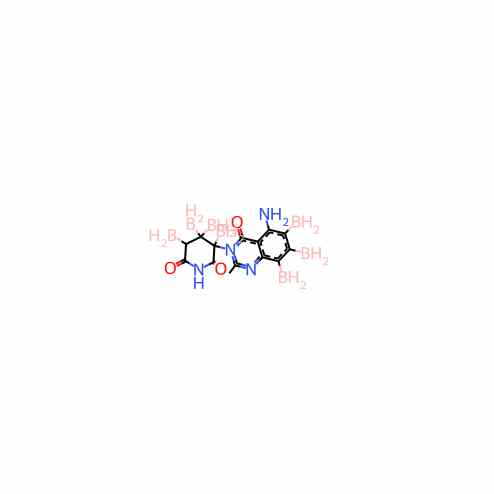 Bc1c(B)c(N)c2c(=O)n(C3(B)C(=O)NC(=O)C(B)C3(B)B)c(C)nc2c1B